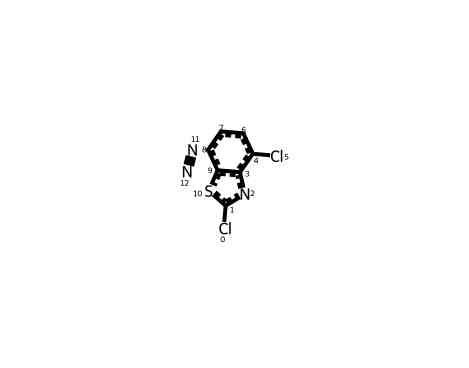 Clc1nc2c(Cl)cccc2s1.N#N